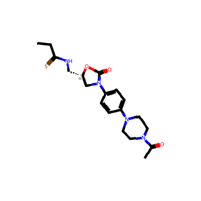 CCC(=S)NC[C@H]1CN(c2ccc(N3CCN(C(C)=O)CC3)cc2)C(=O)O1